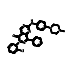 CN1CCN(c2ccc(Nc3ncc4c(=O)n(-c5ccccc5Cl)nc(-c5ccccc5)c4n3)cc2)CC1